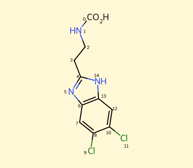 O=C(O)NCCc1nc2cc(Cl)c(Cl)cc2[nH]1